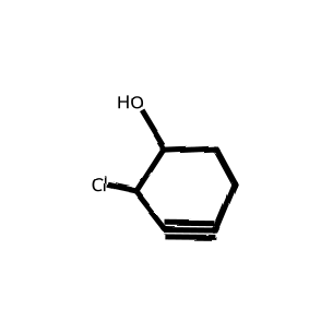 OC1CCC#CC1Cl